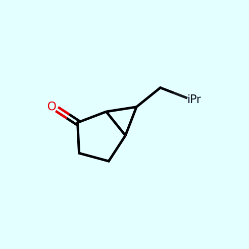 CC(C)CC1C2CCC(=O)C21